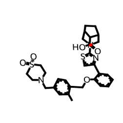 Cc1cc(CN2CCS(=O)(=O)CC2)ccc1COc1ccccc1-c1csc(N2CC3CCC(C2)C3C(=O)O)n1